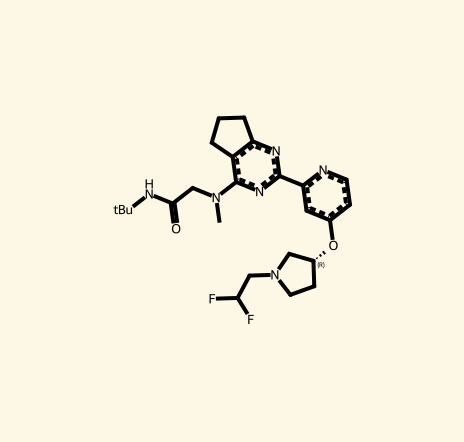 CN(CC(=O)NC(C)(C)C)c1nc(-c2cc(O[C@@H]3CCN(CC(F)F)C3)ccn2)nc2c1CCC2